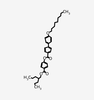 CCCCCCCCCOc1ccc(-c2ccc(C(=O)Oc3ccc(C(=O)OCC(CCC)CCC)cc3)cc2)cc1